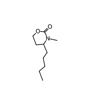 CCCCCC1CCOC(=O)N1C